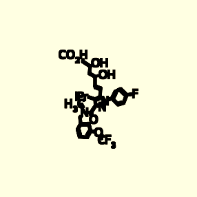 CC(C)c1c(C(=O)N(C)Cc2cccc(OC(F)(F)F)c2)nn(-c2ccc(F)cc2)c1/C=C/[C@H](O)C[C@@H](O)CC(=O)O